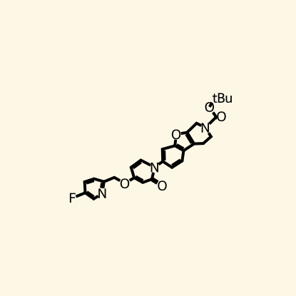 CC(C)(C)OC(=O)N1CCc2c(oc3cc(-n4ccc(OCc5ccc(F)cn5)cc4=O)ccc23)C1